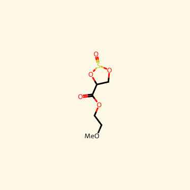 COCCOC(=O)C1COS(=O)O1